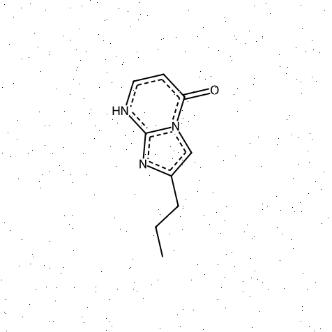 CCCc1cn2c(=O)cc[nH]c2n1